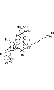 C[C@@H]1CCC2(C(=O)O[C@@H]3O[C@H](CO)C(NC(=O)CCCCCCCCCCC(=O)O)C(O)C3O[C@@H]3O[C@H](C)C(O[C@@H]4OC[C@@H](O)C(O)C4O)C(O)C3O)C(C1)C1=C3CC4C5(C)CCC(O)C(C)(C=O)[C@@H]5CC[C@@]34[C@]1(C)C[C@H]2O